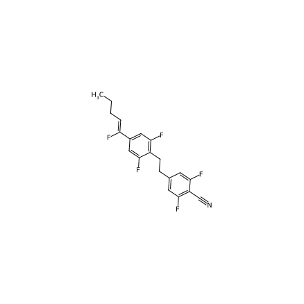 CCCC=C(F)c1cc(F)c(CCc2cc(F)c(C#N)c(F)c2)c(F)c1